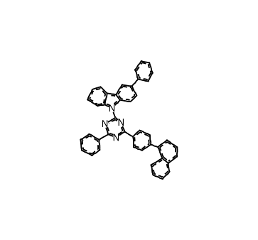 c1ccc(-c2ccc3c(c2)c2ccccc2n3-c2nc(-c3ccccc3)nc(-c3ccc(-c4cccc5ccccc45)cc3)n2)cc1